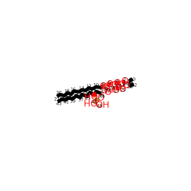 C=COOOOOOOCCCCCCCCCCCCC.C=COOOOOOOCCCCCCCCCCCCC.O=P(O)(O)O